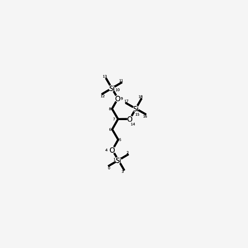 C[Si](C)(C)OCCC(CO[Si](C)(C)C)O[Si](C)(C)C